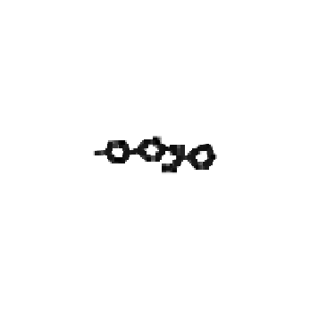 Cc1ccc(-c2ccc(NC(=N)c3ccccc3)nc2)cc1